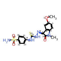 COc1ccc2c(c1)C(=NNC(=S)Nc1ccc(S(N)(=O)=O)cc1)C(=O)N2C